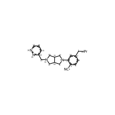 CC(C)Cc1ccc(C#N)c(N2CC3CN(Cc4cccnn4)CC3C2)c1